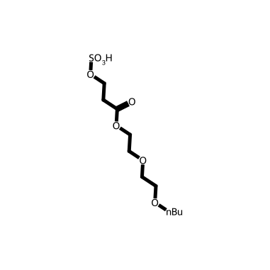 CCCCOCCOCCOC(=O)CCOS(=O)(=O)O